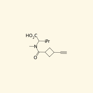 C#CC1CC(C(=O)N(C)C(C(=O)O)C(C)C)C1